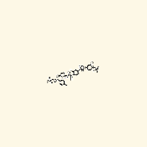 Cc1ccc(COCC(F)(F)F)c(N2C(=O)CS/C2=N\C(=O)Nc2ccc(-c3ncn(-c4ccn(CC(F)(F)F)c(=O)c4)n3)cc2F)c1